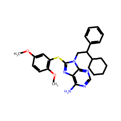 COc1ccc(OC)c(Sc2nc3c(N)ncnc3n2CC(c2ccccc2)C2CCCCC2)c1